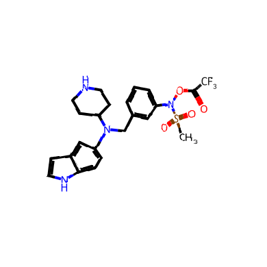 CS(=O)(=O)N(OC(=O)C(F)(F)F)c1cccc(CN(c2ccc3[nH]ccc3c2)C2CCNCC2)c1